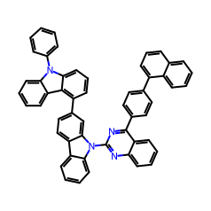 c1ccc(-n2c3ccccc3c3c(-c4ccc5c6ccccc6n(-c6nc(-c7ccc(-c8cccc9ccccc89)cc7)c7ccccc7n6)c5c4)cccc32)cc1